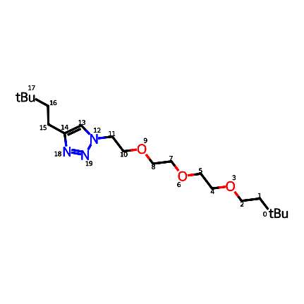 CC(C)(C)CCOCCOCCOCCn1cc(CCC(C)(C)C)nn1